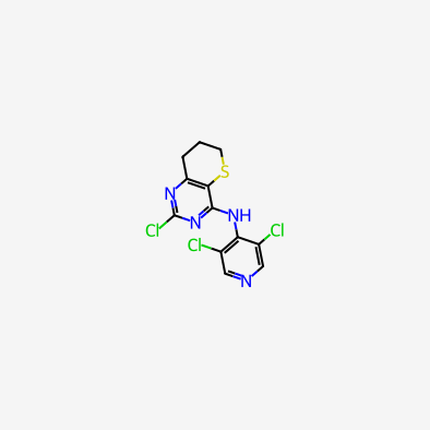 Clc1nc2c(c(Nc3c(Cl)cncc3Cl)n1)SCCC2